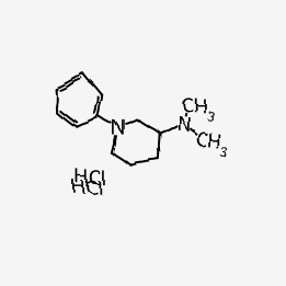 CN(C)C1CCCN(c2ccccc2)C1.Cl.Cl